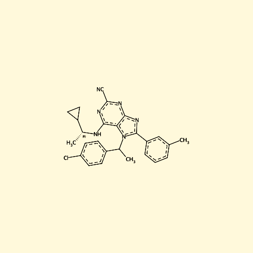 Cc1cccc(-c2nc3nc(C#N)nc(N[C@H](C)C4CC4)c3n2C(C)c2ccc(Cl)cc2)c1